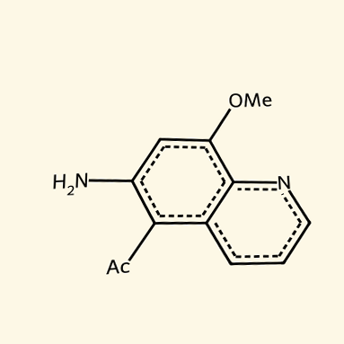 COc1cc(N)c(C(C)=O)c2cccnc12